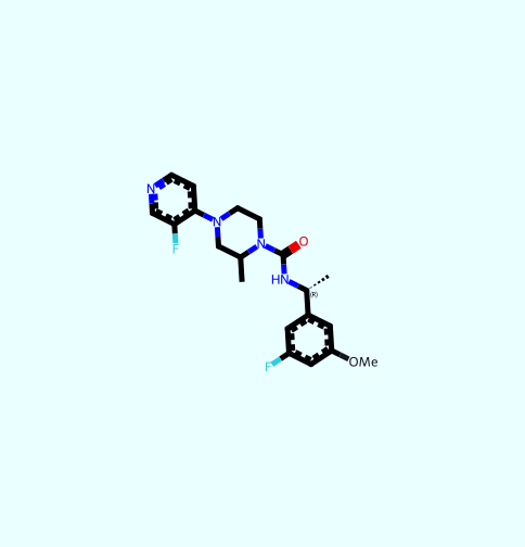 COc1cc(F)cc([C@@H](C)NC(=O)N2CCN(c3ccncc3F)CC2C)c1